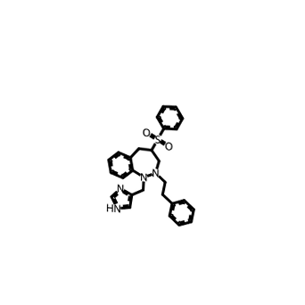 O=S(=O)(c1ccccc1)C1Cc2ccccc2N(Cc2c[nH]cn2)N(CCc2ccccc2)C1